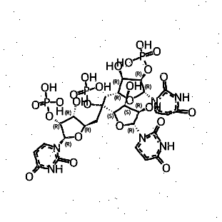 O=c1ccn([C@@H]2O[C@H](C(C[C@H]3O[C@@H](n4ccc(=O)[nH]c4=O)[C@H](OP(=O)(O)O)[C@@H]3O)(C[C@H]3O[C@@H](n4ccc(=O)[nH]c4=O)[C@H](OP(=O)(O)O)[C@@H]3O)OP(=O)(O)O)[C@@H](O)[C@H]2O)c(=O)[nH]1